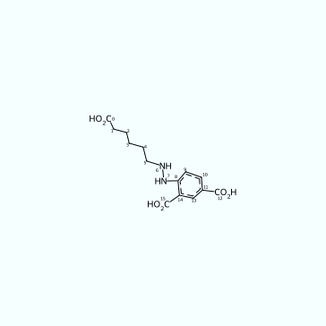 O=C(O)CCCCCNNc1ccc(C(=O)O)cc1C(=O)O